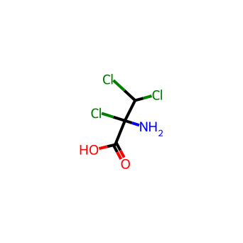 NC(Cl)(C(=O)O)C(Cl)Cl